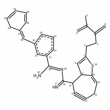 C=C(C)C(=C)CCC1=CC2C(=CCC#CC2C(=N)/N=C(\N)c2cccc(/C=C3\C=CC=CC3)c2)S1